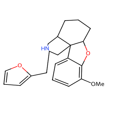 COc1cccc2c1OC1CCCC3CNC(Cc4ccco4)CC231